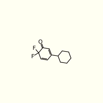 O=C1C=C(C2CCCCC2)C=CC1(F)F